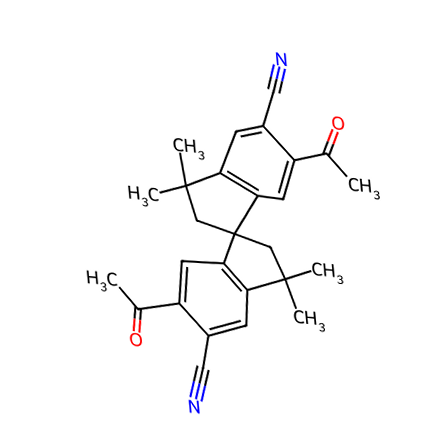 CC(=O)c1cc2c(cc1C#N)C(C)(C)CC21CC(C)(C)c2cc(C#N)c(C(C)=O)cc21